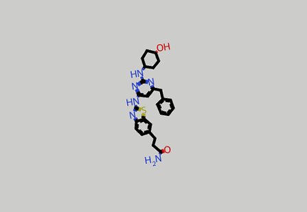 NC(=O)CCc1ccc2nc(Nc3cc(Cc4ccccc4)nc(NC4CCC(O)CC4)n3)sc2c1